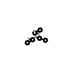 c1ccc(-c2ccc(N(c3ccc4c(c3)sc3ccccc34)c3ccnc4c3sc3ccccc34)cc2)cc1